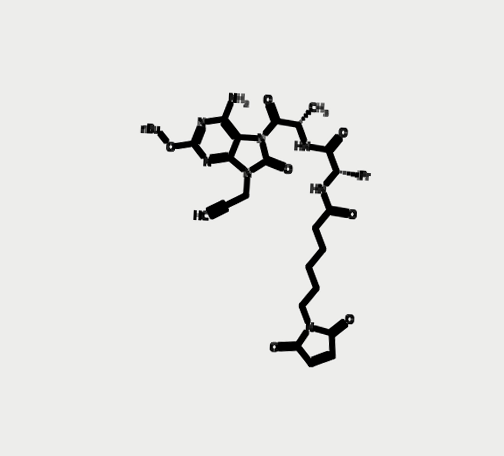 C#CCn1c(=O)n(C(=O)[C@H](C)NC(=O)[C@@H](NC(=O)CCCCCN2C(=O)C=CC2=O)C(C)C)c2c(N)nc(OCCCC)nc21